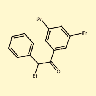 CCC(C(=O)c1cc(C(C)C)[c]c(C(C)C)c1)c1ccccc1